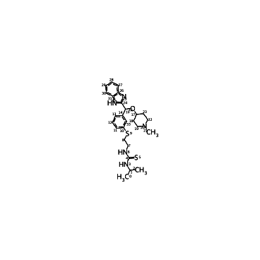 CC(C)NC(=S)NCCSc1cccc(C(OC2CCN(C)CC2)c2nc3ccccc3[nH]2)c1